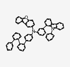 c1ccc(-c2ccccc2-c2ccccc2-c2ccc(N(c3cccc(-c4cccc5c6ccccc6n(-c6ccccc6)c45)c3)c3ccc4oc5ccccc5c4c3)cc2)cc1